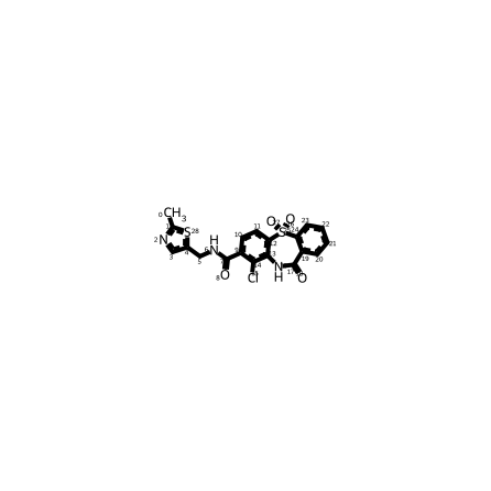 Cc1ncc(CNC(=O)c2ccc3c(c2Cl)NC(=O)c2ccccc2S3(=O)=O)s1